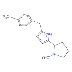 O=CN1CCCC1c1ccc(Cc2ccc(C(F)(F)F)cc2)[nH]1